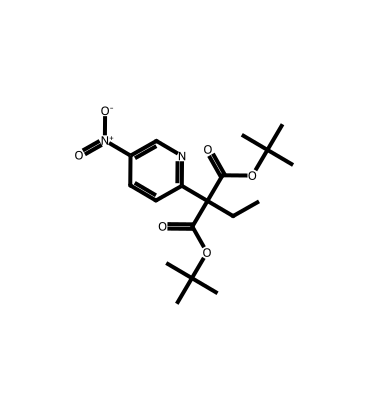 CCC(C(=O)OC(C)(C)C)(C(=O)OC(C)(C)C)c1ccc([N+](=O)[O-])cn1